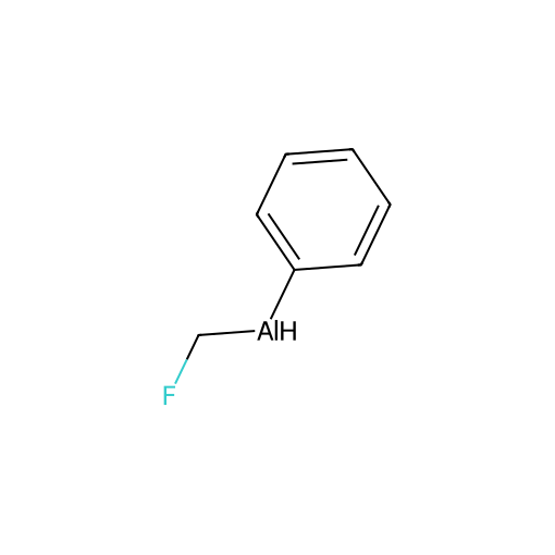 F[CH2][AlH][c]1ccccc1